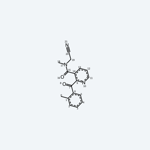 Cc1ccccc1C(=O)c1ncccc1C(=O)N(C)CC#N